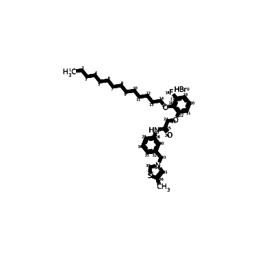 Br.CCCCCCCCCCCCCCOc1c(F)cccc1OCC(=O)Nc1cccc(CN2C=C(C)SC2)c1